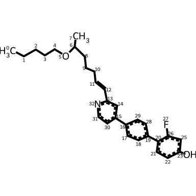 CCCCCOC(C)CCC/C=C/c1cc(-c2ccc(-c3ccc(O)cc3F)cc2)ccn1